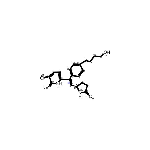 O=C1CC[C@H](/C=C(\c2ccc(CCCCO)cc2)c2ccc(Cl)c(=O)[nH]2)N1